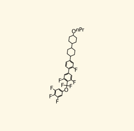 CCCOC1CCC(C2CCC(c3ccc(-c4cc(F)c(C(F)(F)Oc5cc(F)c(F)c(F)c5)c(F)c4)c(F)c3)CC2)CC1